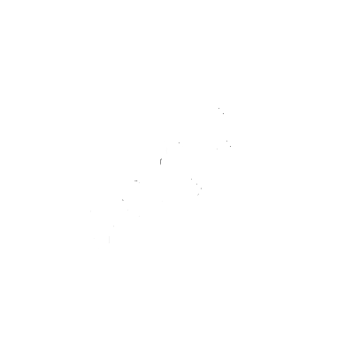 N#Cc1c(Cl)nc2c(cnn2[C@@H]2OC(COCP(=O)(O)O)[C@@H](O)[C@H]2O)c1NC1CCCC1